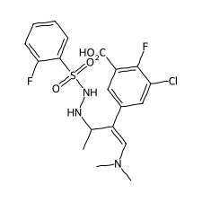 CC(NNS(=O)(=O)c1ccccc1F)/C(=C\N(C)C)c1cc(Cl)c(F)c(C(=O)O)c1